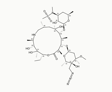 CC[C@H]1OC(=O)[C@H](C)[C@@H](O[C@H]2C[C@@](C)(OC)[C@](O)(CN=[N+]=[N-])[C@H](C)O2)[C@H](C)[C@@H](O[C@@H]2O[C@H](C)C[C@H](N(C)S(C)(=O)=O)[C@H]2O)[C@](C)(O)C[C@@H](C)CN[C@H](C)[C@@H](O)[C@]1(C)O